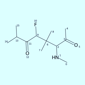 CNC(C(C)=O)C(C)(C)C(F)C(=O)C(C)C